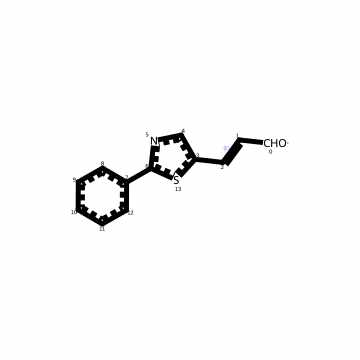 O=[C]/C=C/c1cnc(-c2ccccc2)s1